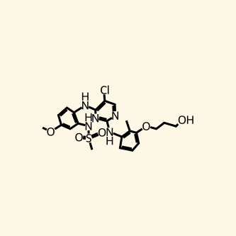 COc1ccc(Nc2nc(Nc3cccc(OCCCO)c3C)ncc2Cl)c(NS(C)(=O)=O)c1